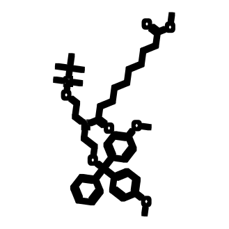 COC(=O)CCCCCCCCC(=O)N(CCOC(c1ccccc1)(c1ccc(OC)cc1)c1ccc(OC)cc1)CCO[Si](C)(C)C(C)(C)C